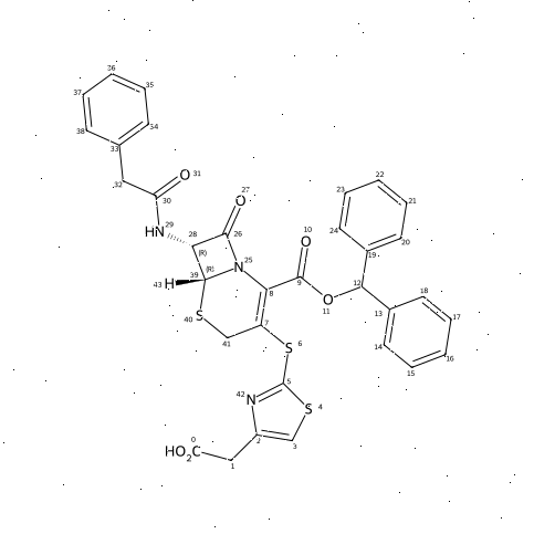 O=C(O)Cc1csc(SC2=C(C(=O)OC(c3ccccc3)c3ccccc3)N3C(=O)[C@@H](NC(=O)Cc4ccccc4)[C@H]3SC2)n1